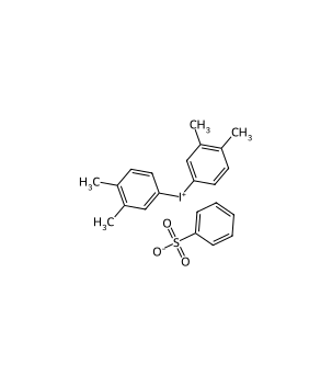 Cc1ccc([I+]c2ccc(C)c(C)c2)cc1C.O=S(=O)([O-])c1ccccc1